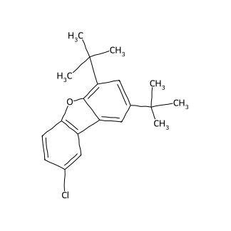 CC(C)(C)c1cc(C(C)(C)C)c2oc3ccc(Cl)cc3c2c1